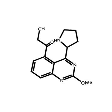 COc1nc(C2CCCN2)c2c(C(=O)CO)cccc2n1